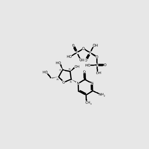 Cc1cn([C@@H]2O[C@H](CO)[C@@H](O)[C@H]2O)c(=O)nc1N.O=P(O)(O)OP(=O)(O)OP(=O)(O)O